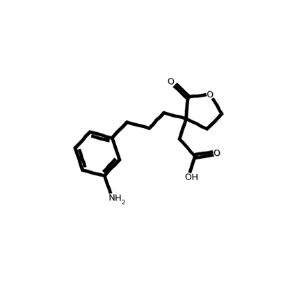 Nc1cccc(CCCC2(CC(=O)O)CCOC2=O)c1